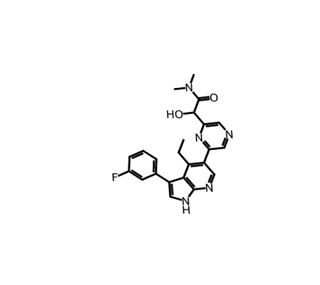 CCc1c(-c2cncc(C(O)C(=O)N(C)C)n2)cnc2[nH]cc(-c3cccc(F)c3)c12